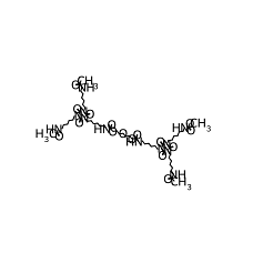 COC(=O)NCCCCCCn1c(=O)n(CCCCCCNC(C)=O)c(=O)n(CCCCCCNC(=O)OCCOCCOC(=O)NCCCCCCn2c(=O)n(CCCCCCNC(C)=O)c(=O)n(CCCCCCNC(C)=O)c2=O)c1=O